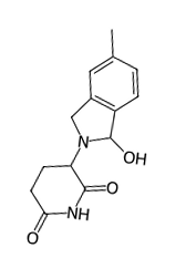 Cc1ccc2c(c1)CN(C1CCC(=O)NC1=O)C2O